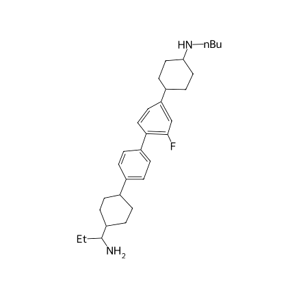 CCCCNC1CCC(c2ccc(-c3ccc(C4CCC(C(N)CC)CC4)cc3)c(F)c2)CC1